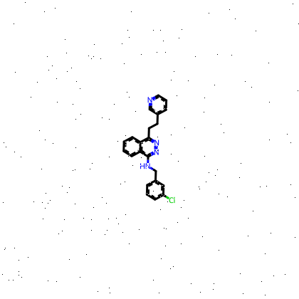 Clc1cccc(CNc2nnc(CCc3cccnc3)c3ccccc23)c1